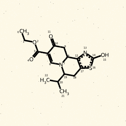 CCOC(=O)C1=CN2C(CC1=O)c1nc(O)sc1CC2C(C)C